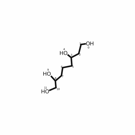 OCCC(O)CCCC(O)CO